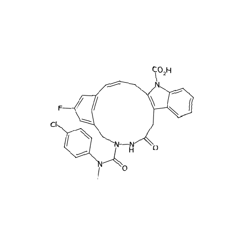 CN(C(=O)N1Cc2cc(F)cc(c2)/C=C\Cc2c(c3ccccc3n2C(=O)O)CC(=O)N1)c1ccc(Cl)cc1